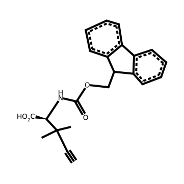 C#CC(C)(C)[C@H](NC(=O)OCC1c2ccccc2-c2ccccc21)C(=O)O